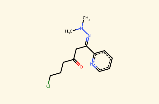 CN(C)/N=C(\CC(=O)CCCCl)c1ccccn1